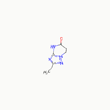 Cc1nc2n(n1)CCC(=O)N2